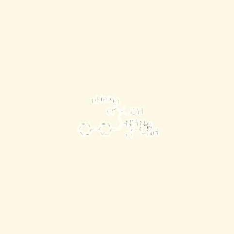 CCCCCCOC(=O)C(C)(CO)C[C@@H](Cc1ccc(-c2ccccc2)cc1)NC(=O)c1c[nH]nn1